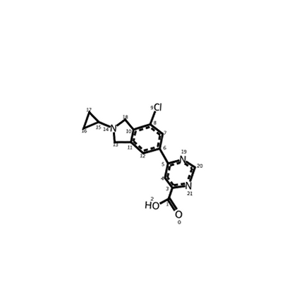 O=C(O)c1cc(-c2cc(Cl)c3c(c2)CN(C2CC2)C3)ncn1